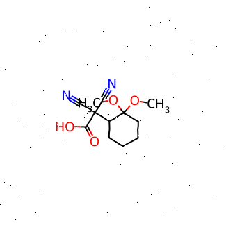 COC1(OC)CCCCC1C(C#N)(C#N)C(=O)O